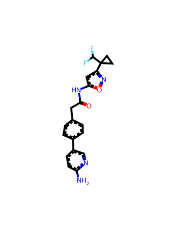 Nc1ccc(-c2ccc(CC(=O)Nc3cc(C4(C(F)F)CC4)no3)cc2)cn1